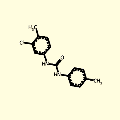 Cc1ccc(NC(=O)Nc2ccc(C)c(Cl)c2)cc1